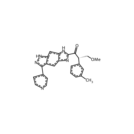 COC[C@@H](C(=O)c1nc2cc3c(-c4ccncc4)n[nH]c3cc2[nH]1)c1cccc(C)c1